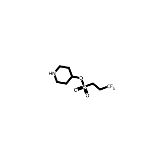 O=S(=O)(CCC(F)(F)F)OC1CCNCC1